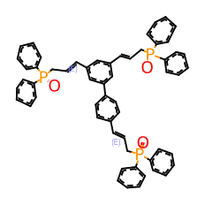 O=P(CC=Cc1cc(/C=C/CP(=O)(c2ccccc2)c2ccccc2)cc(-c2ccc(/C=C/CP(=O)(c3ccccc3)c3ccccc3)cc2)c1)(c1ccccc1)c1ccccc1